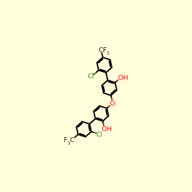 Oc1cc(Oc2ccc(-c3ccc(C(F)(F)F)cc3Cl)c(O)c2)ccc1-c1ccc(C(F)(F)F)cc1Cl